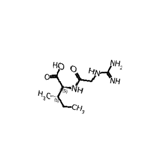 CC[C@H](C)[C@H](NC(=O)CNC(=N)N)C(=O)O